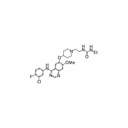 CCNC(=O)NCCN1CCC(Oc2cc3c(Nc4ccc(F)c(Cl)c4)ncnc3cc2OC)CC1